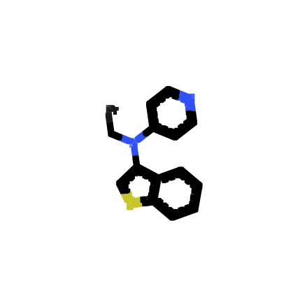 CC(C)CN(c1ccncc1)c1csc2ccccc12